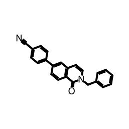 N#Cc1ccc(-c2ccc3c(=O)n(Cc4ccccc4)ccc3c2)cc1